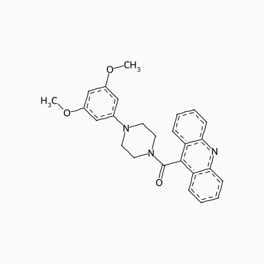 COc1cc(OC)cc(N2CCN(C(=O)c3c4ccccc4nc4ccccc34)CC2)c1